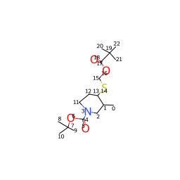 CC1CN(C(=O)OC(C)(C)C)CCC1SCOC(=O)C(C)(C)C